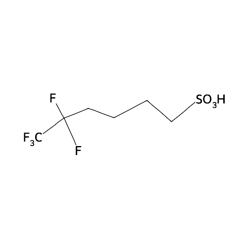 O=S(=O)(O)CCCCC(F)(F)C(F)(F)F